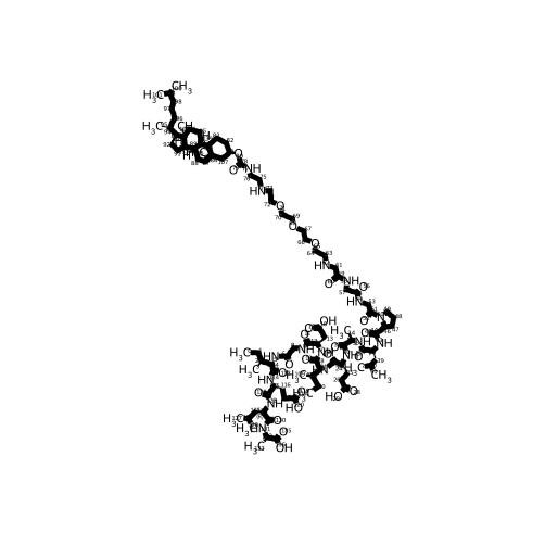 CC[C@@H](C)[C@H](NC(=O)CNC(=O)[C@@H](CC(=O)O)NC(=O)[C@@H](NC(=O)[C@@H](CCC(=O)O)NC(=O)[C@@H](C)NC(=O)[C@@H](CC(C)C)NC(=O)C1CCCN1C(=O)CNC(=O)CNC(=O)CNCCOCCOCCOCCNCCNC(=O)O[C@@H]1CC[C@]2(C)C(=CC[C@H]3[C@H]4CC[C@@H]([C@H](C)CCCC(C)C)[C@@]4(C)CC[C@H]32)C1)[C@H](C)CC)C(=O)N[C@H](CCC(=O)O)C(=O)N[C@H](CC(C)C)C(=O)N[C@H](C)C(=O)O